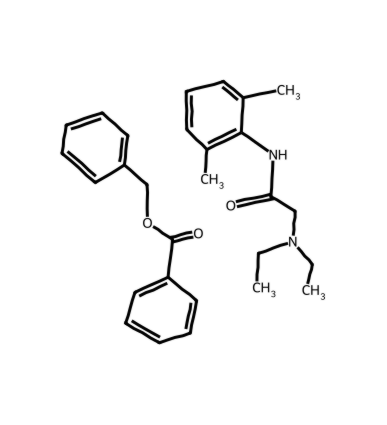 CCN(CC)CC(=O)Nc1c(C)cccc1C.O=C(OCc1ccccc1)c1ccccc1